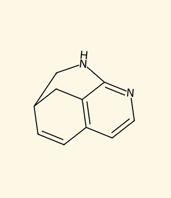 C1=CC2CNc3nccc1c3C2